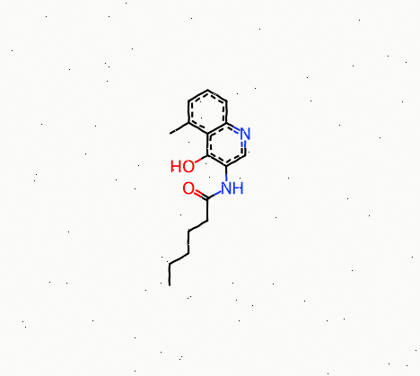 CCCCCC(=O)Nc1cnc2cccc(C)c2c1O